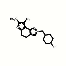 CCN1CCC(Cn2cc3c(n2)-c2c(oc(C(=O)O)c2C(F)(F)F)CC3)CC1